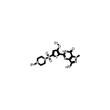 CCCc1nn(C)c2c(=O)[nH]c(-c3sc(S(=O)(=O)N4CCN(C(C)C)CC4)cc3OCC)nc12